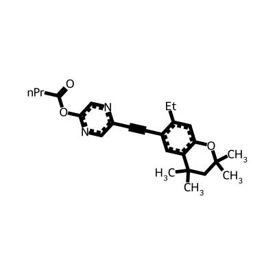 CCCC(=O)Oc1cnc(C#Cc2cc3c(cc2CC)OC(C)(C)CC3(C)C)cn1